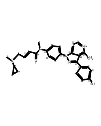 CN(C(=O)/C=C/CN(C)C1CC1)c1ccc(-n2nc(-c3ccc(Cl)cc3)c3c(N)ncnc32)cc1